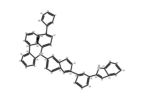 c1ccc(-c2ccc(N(c3ccc4cc(-c5cccc(-c6cc7ccccc7o6)c5)ccc4c3)c3ccccc3-c3ccccc3)cc2)cc1